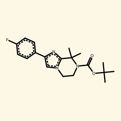 CC(C)(C)OC(=O)N1CCn2cc(-c3ccc(F)cc3)nc2C1(C)C